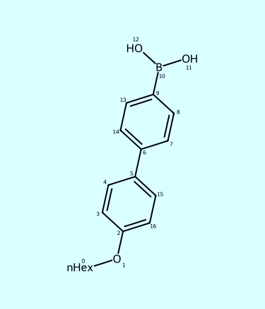 CCCCCCOc1ccc(-c2ccc(B(O)O)cc2)cc1